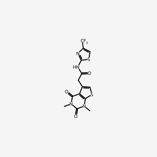 Cn1c(=O)c2c(CC(=O)Nc3nc(C(F)(F)F)cs3)csc2n(C)c1=O